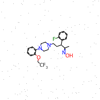 CC(=NO)C(CCN1CCN(c2ccccc2OCC(F)(F)F)CC1)c1ccccc1F